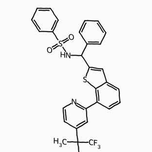 CC(O)(c1ccnc(-c2cccc3cc(C(NS(=O)(=O)c4ccccc4)c4ccccc4)sc23)c1)C(F)(F)F